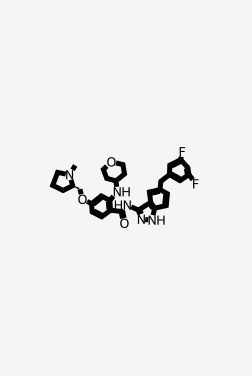 CN1CCC[C@H]1COc1ccc(C(=O)Nc2n[nH]c3ccc(Cc4cc(F)cc(F)c4)cc23)c(NC2CCOCC2)c1